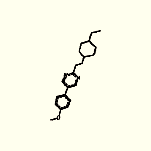 CCC1CCC(CCc2ncc(-c3ccc(OC)cc3)cn2)CC1